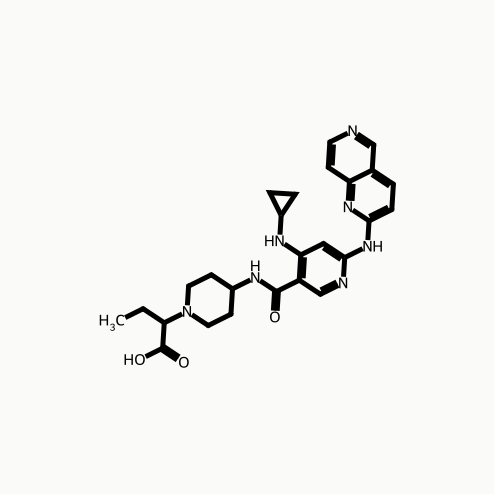 CCC(C(=O)O)N1CCC(NC(=O)c2cnc(Nc3ccc4cnccc4n3)cc2NC2CC2)CC1